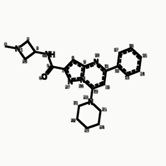 CN1CC(NC(=O)c2cc3nc(-c4ccccc4)cc(N4CCCCC4)n3n2)C1